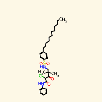 CCCCCCCCCCCCc1ccc(S(=O)(=O)NCC(C)(C)C(=O)C(Cl)C(=O)Nc2ccccc2)cc1